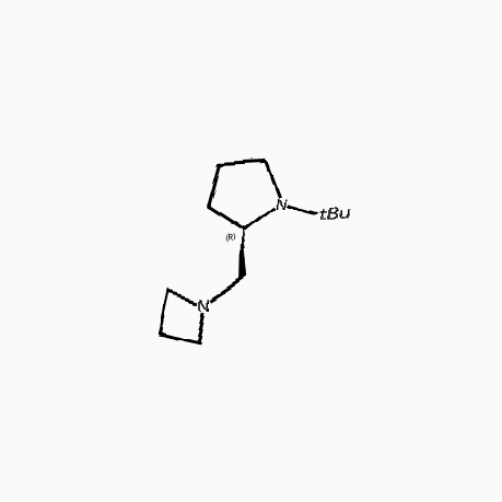 CC(C)(C)N1CCC[C@@H]1CN1CCC1